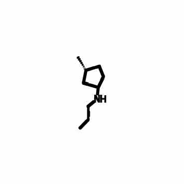 CCCNC1CC[C@@H](C)C1